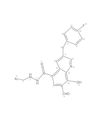 CC(=O)CNNC(=O)c1cc(C=O)c(O)c2ncc(Cc3ccc(F)cc3)cc12